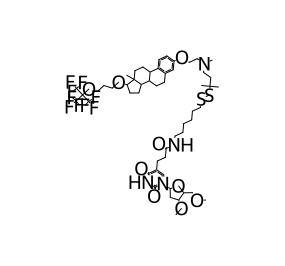 COCC1OC(n2cc(CCC(=O)NCCCCCCSSC(C)(C)CCN(C)CCOc3ccc4c(c3)CCC3C4CCC4(C)C(OCCCOC(C(F)(F)F)(C(F)(F)F)C(F)(F)F)CCC34)c(=O)[nH]c2=O)CC1OC